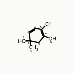 CC1(O)C=CC(Cl)=C(O)C1